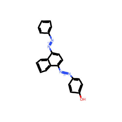 Oc1ccc(/N=N/c2ccc(/N=N/c3ccccc3)c3ccccc23)cc1